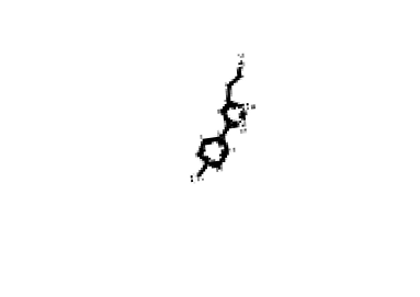 Clc1ccc(-c2cc(CCBr)on2)cc1